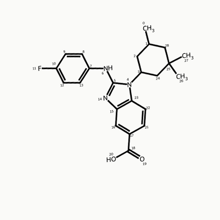 CC1CC(n2c(Nc3ccc(F)cc3)nc3cc(C(=O)O)ccc32)CC(C)(C)C1